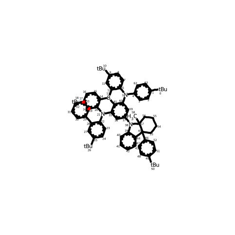 CC(C)(C)c1ccc(N2c3ccc(C(C)(C)C)cc3B3c4ccc(C(C)(C)C)cc4N(c4ccc(C(C)(C)C)cc4-c4ccccc4)c4cc(N5c6ccccc6C6(c7ccc(C(C)(C)C)cc7)CCCCC56C)cc2c43)cc1